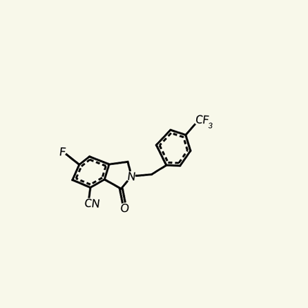 N#Cc1cc(F)cc2c1C(=O)N(Cc1ccc(C(F)(F)F)cc1)C2